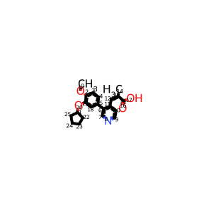 COc1ccc(-c2cnccc2C=C(C)C(=O)O)cc1OC1CCCC1